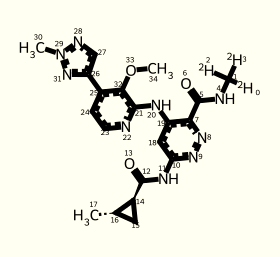 [2H]C([2H])([2H])NC(=O)c1nnc(NC(=O)[C@H]2C[C@@H]2C)cc1Nc1nccc(-c2cnn(C)n2)c1OC